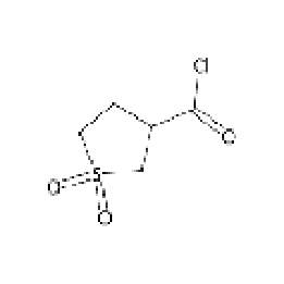 O=C(Cl)C1CCS(=O)(=O)C1